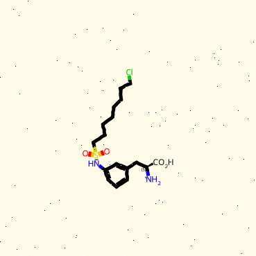 N[C@@H](Cc1cccc(NS(=O)(=O)CCCCCCCCCl)c1)C(=O)O